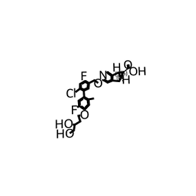 Cc1cc(OCCC(O)CO)c(F)cc1-c1cc(COc2cc3c(cn2)[C@H]2[C@@H](C3)[C@@H]2C(=O)O)c(F)cc1Cl